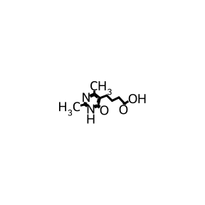 Cc1nc(C)c(CCCC(=O)O)c(=O)[nH]1